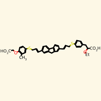 CCOC(Cc1ccc(SC/C=C/c2ccc3c(c2)Cc2cc(/C=C/CSc4ccc(OCC(=O)O)c(C)c4)ccc2-3)cc1)C(=O)O